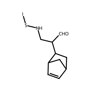 O=CC(CNSI)C1CC2C=CC1C2